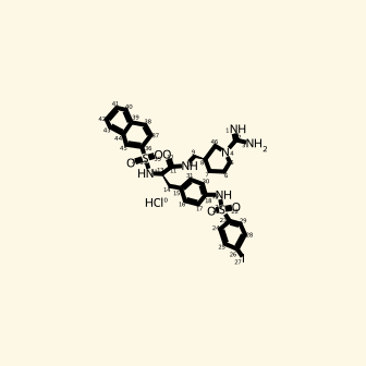 Cl.N=C(N)N1CCC[C@@H](CNC(=O)[C@@H](Cc2ccc(NS(=O)(=O)c3ccc(I)cc3)cc2)NS(=O)(=O)c2ccc3ccccc3c2)C1